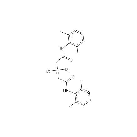 CC[PH](CC)(CC(=O)Nc1c(C)cccc1C)CC(=O)Nc1c(C)cccc1C